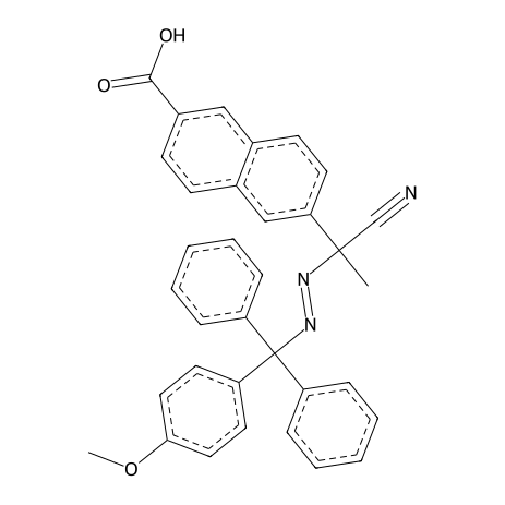 COc1ccc(C(/N=N/C(C)(C#N)c2ccc3cc(C(=O)O)ccc3c2)(c2ccccc2)c2ccccc2)cc1